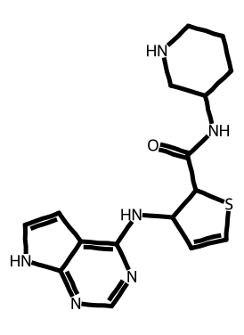 O=C(NC1CCCNC1)C1SC=CC1Nc1ncnc2[nH]ccc12